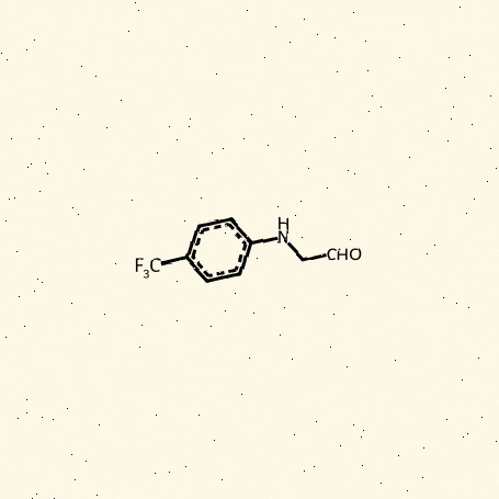 O=CCNc1ccc(C(F)(F)F)cc1